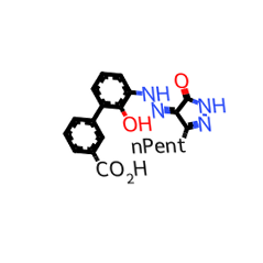 CCCCCC1=NNC(=O)C1=NNc1cccc(-c2cccc(C(=O)O)c2)c1O